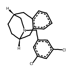 Clc1cc(Cl)cc(CN2C[C@@H]3CC[C@H]2Cc2ccccc2C3)c1